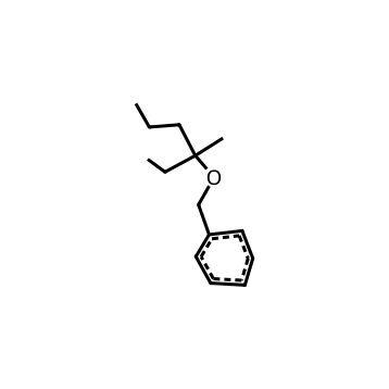 CCCC(C)(CC)OCc1ccccc1